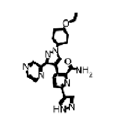 CCOC1CCC(n2cc(-c3ccc(-c4cn[nH]c4)nc3C(N)=O)c(-c3cnccn3)n2)CC1